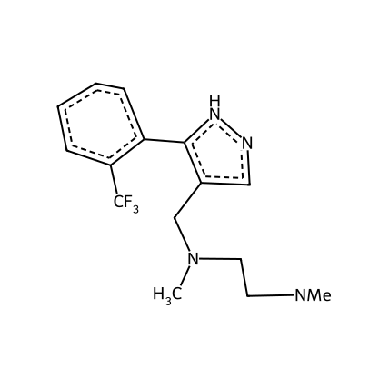 CNCCN(C)Cc1cn[nH]c1-c1ccccc1C(F)(F)F